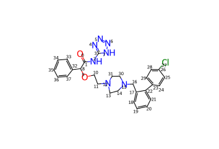 O=C(Nc1nnn[nH]1)C(OCCN1CCN(Cc2ccccc2-c2ccc(Cl)cc2)CC1)c1ccccc1